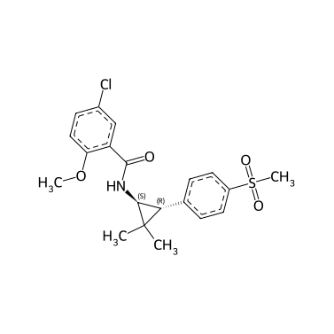 COc1ccc(Cl)cc1C(=O)N[C@H]1[C@H](c2ccc(S(C)(=O)=O)cc2)C1(C)C